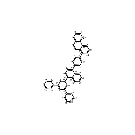 c1cnc2c(c1)ccc1c(-c3ccc(-c4ccc(-c5cc(-c6ccncc6)nc(-c6ccncc6)c5)c5ccccc45)cc3)cccc12